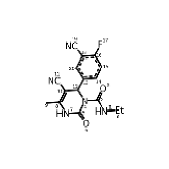 CCNC(=O)N1C(=O)NC(C)=C(C#N)C1c1ccc(F)c(C#N)c1